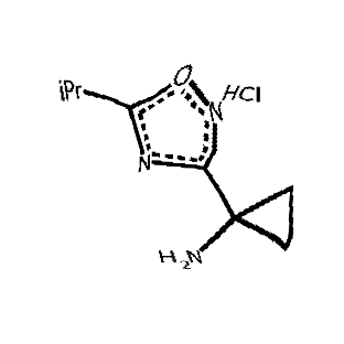 CC(C)c1nc(C2(N)CC2)no1.Cl